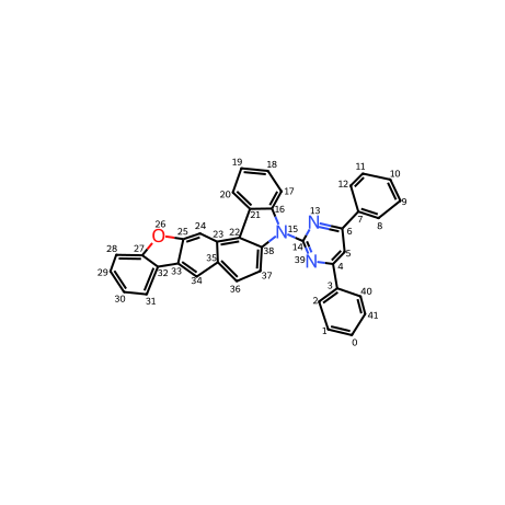 c1ccc(-c2cc(-c3ccccc3)nc(-n3c4ccccc4c4c5cc6oc7ccccc7c6cc5ccc43)n2)cc1